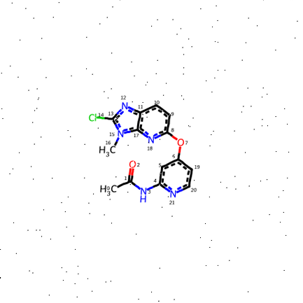 CC(=O)Nc1cc(Oc2ccc3nc(Cl)n(C)c3n2)ccn1